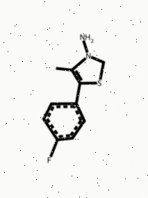 CC1=C(c2ccc(F)cc2)SCN1N